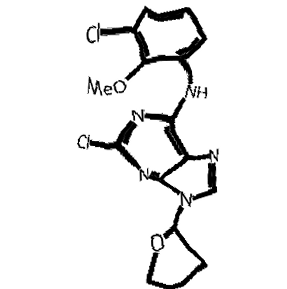 COc1c(Cl)cccc1Nc1nc(Cl)nc2c1ncn2C1CCCO1